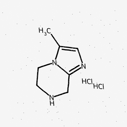 Cc1cnc2n1CCNC2.Cl.Cl